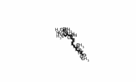 C/C=C/C(O[Si](C)(C)C(C)(C)C)C(C)(C)C(O)C\C=C/C=C\C=C\C(Cc1nc(C(=O)OC)co1)OC